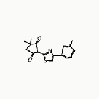 Cc1cccc(-c2csc(C3C(=O)CC(C)(C)C3=O)n2)c1